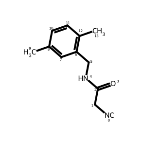 [C-]#[N+]CC(=O)NCc1cc(C)ccc1C